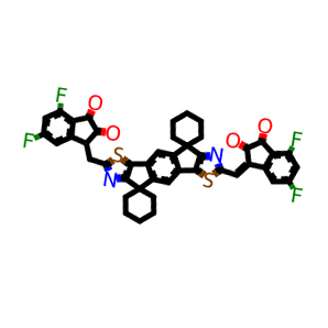 O=C1C(=O)c2c(F)cc(F)cc2/C1=C/c1nc2c(s1)-c1cc3c(cc1C21CCCCC1)-c1sc(CC2C(=O)C(=O)c4c(F)cc(F)cc42)nc1C31CCCCC1